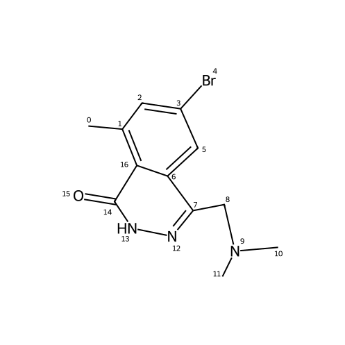 Cc1cc(Br)cc2c(CN(C)C)n[nH]c(=O)c12